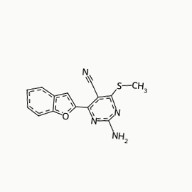 CSc1nc(N)nc(-c2cc3ccccc3o2)c1C#N